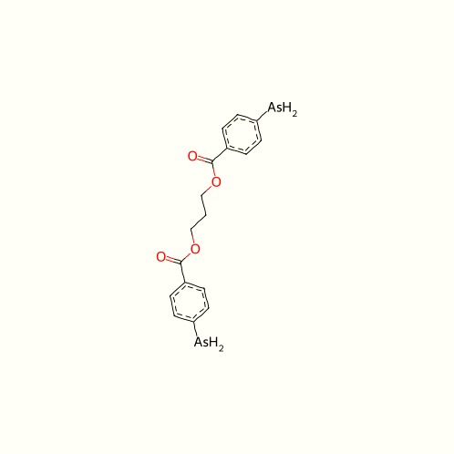 O=C(OCCCOC(=O)c1ccc([AsH2])cc1)c1ccc([AsH2])cc1